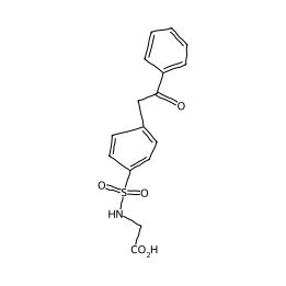 O=C(O)CNS(=O)(=O)c1ccc(CC(=O)c2ccccc2)cc1